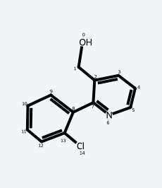 OCc1cccnc1-c1ccccc1Cl